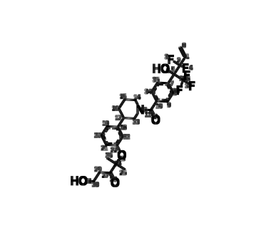 C=CC(F)(F)C(O)(c1ccc(C(=O)N2CCCC(c3cccc(OC(C)(C)C(=O)CCO)c3)C2)cc1)C(F)(F)F